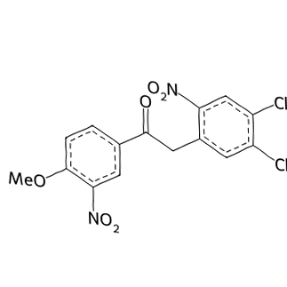 COc1ccc(C(=O)Cc2cc(Cl)c(Cl)cc2[N+](=O)[O-])cc1[N+](=O)[O-]